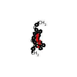 C=CC1=CCC(OC2C=CC(C3(c4ccccc4)c4cc(N(c5cccc6oc7cccc(N(c8ccc9c(c8)C(C8=CC=C(OC%10=CCC(C=C)C=C%10)CC8)(C8CC=CCC8)C8CCC=CC98)C8C=CC(F)=CC8)c7c56)C5C=CC(F)=CC5)ccc4C4C=CC=CC43)=CC2)CC1